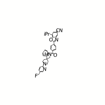 CC(C)c1cc(C#N)cc2nc(-c3ccc(C(=O)NCC4(c5ccccc5)CCN(c5ccc(CF)cn5)CC4)cc3)oc12